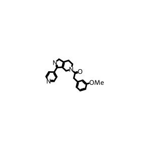 COc1cccc(CC(=O)N2CCC3=C(C2)C(c2ccncc2)=NC3)c1